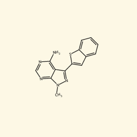 Cn1nc(-c2cc3ccccc3s2)c2c(N)ncnc21